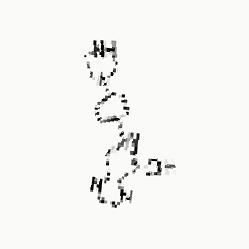 Oc1nc(-c2ccc(N3CCNCC3)cc2)cc2nccnc12